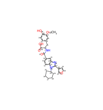 COc1cc(CC(NC(=O)c2ccc3c(c2)nc(-c2ccoc2)n3C2CCCCC2)C(=O)O)ccc1O